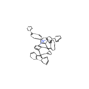 C1=CC2=C(CC1)c1ccccc1C21c2ccccc2C2(c3ccccc3-c3ccccc32)c2c(N(c3ccc(-c4ccccc4)cc3)c3ccc(-c4ccccc4)cc3)cccc21